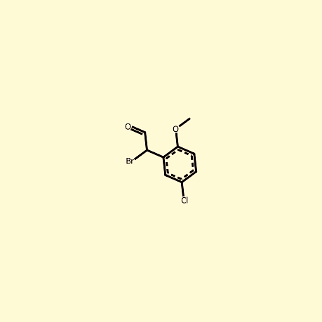 COc1ccc(Cl)cc1C(Br)C=O